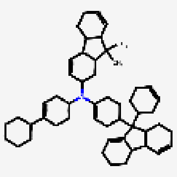 CC1(C)C2C=CCCC2C2C=CC(N(C3=CCC(C4(C5CC=CCC5)C5=CCCCC5C5C=CCCC54)CC3)C3CC=C(C4CCCCC4)CC3)CC21